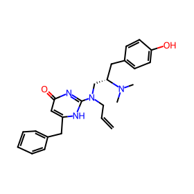 C=CCN(C[C@H](Cc1ccc(O)cc1)N(C)C)c1nc(=O)cc(Cc2ccccc2)[nH]1